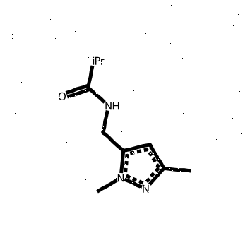 Cc1cc(CNC(=O)C(C)C)n(C)n1